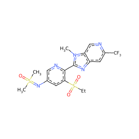 CCS(=O)(=O)c1cc(N=S(C)(C)=O)cnc1-c1nc2cc(C(F)(F)F)ncc2n1C